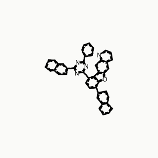 c1ccc(-c2nc(-c3ccc4ccccc4c3)nc(-c3ccc(-c4ccc5ccccc5c4)c4oc5cc6cccnc6cc5c34)n2)cc1